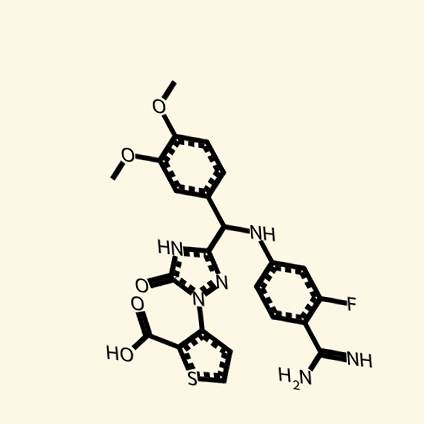 COc1ccc(C(Nc2ccc(C(=N)N)c(F)c2)c2nn(-c3ccsc3C(=O)O)c(=O)[nH]2)cc1OC